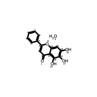 O.O=c1cc(-c2ccccc2)oc2cc(O)c(O)c(O)c12